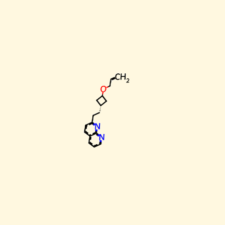 C=CCO[C@H]1C[C@H](CCc2ccc3cccnc3n2)C1